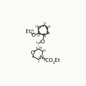 CCOC(=O)N1CCO[C@H](COc2ccccc2OCC)C1